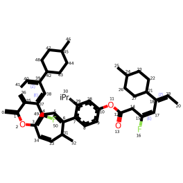 C=C(OC1=CC=C(c2ccc(OC(=O)C/C(F)=C\C(=C/C)C3CCC(C)CC3)cc2C(C)C)C(C)C=C1)C(=C)/C(=C\C(=C/C)C1CCC(C)CC1)CF